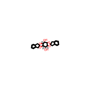 O[C@H]1[C@@H]2OC3(Cc4ccccc4C3)O[C@H]2[C@H](O)C2OC3(Cc4ccccc4C3)O[C@H]21